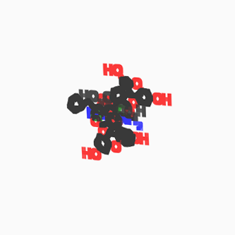 N[C@@H](Cc1ccccc1)C(=O)C(Cl)(C(=O)C(Cl)(C(=O)[C@@H](N)Cc1ccccc1)c1c(C(=O)O)ccc2c1C(=O)OC21c2ccc(O)cc2Oc2cc(O)ccc21)c1c(C(=O)O)ccc2c1C(=O)OC21c2ccc(O)cc2Oc2cc(O)ccc21